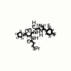 CC(C)CCC(=O)NC(CC(=O)N1CCCC1)C(=O)NC(C)c1ncc(-c2ccc(F)cc2F)[nH]1